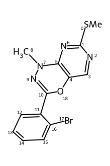 CSc1ncc2c(n1)N(C)N=C(c1ccccc1Br)O2